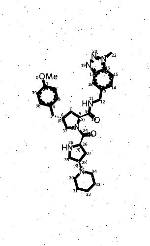 COc1ccc(C[C@@H]2C[C@@H](C(=O)NCc3ccc4c(c3)nnn4C)N(C(=O)[C@H]3C[C@@H](N4CCCCC4)CN3)C2)cc1